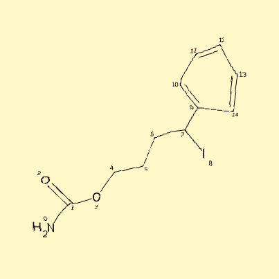 NC(=O)OCCCC(I)c1ccccc1